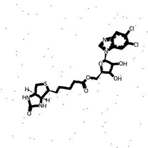 O=C1N[C@H]2[C@H](CS[C@H]2CCCCC(=O)OC[C@H]2O[C@@H](n3cnc4cc(Cl)c(Cl)cc43)C(O)C2O)N1